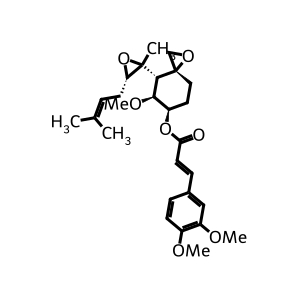 COc1ccc(/C=C/C(=O)O[C@@H]2CC[C@]3(CO3)[C@@H](C3(C)O[C@H]3CC=C(C)C)[C@@H]2OC)cc1OC